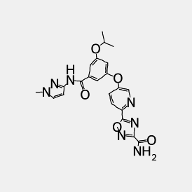 CC(C)Oc1cc(Oc2ccc(-c3nc(C(N)=O)no3)nc2)cc(C(=O)Nc2ccn(C)n2)c1